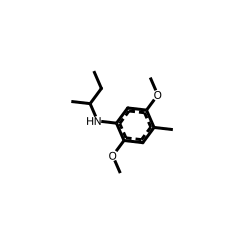 CCC(C)Nc1cc(OC)c(C)cc1OC